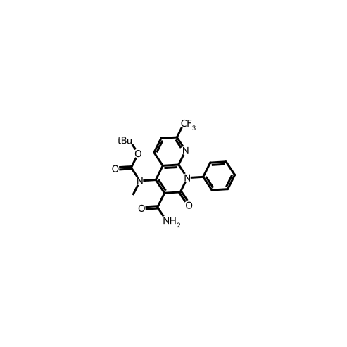 CN(C(=O)OC(C)(C)C)c1c(C(N)=O)c(=O)n(-c2ccccc2)c2nc(C(F)(F)F)ccc12